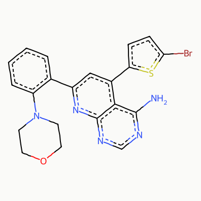 Nc1ncnc2nc(-c3ccccc3N3CCOCC3)cc(-c3ccc(Br)s3)c12